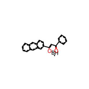 CBO/C(=C\C(=O)c1ccccc1)c1ccc2cc3ccccc3cc2c1